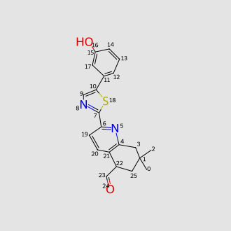 CC1(C)Cc2nc(-c3ncc(-c4cccc(O)c4)s3)ccc2C(C=O)C1